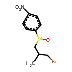 CC(CBr)C[S+]([O-])c1ccc([N+](=O)[O-])cc1